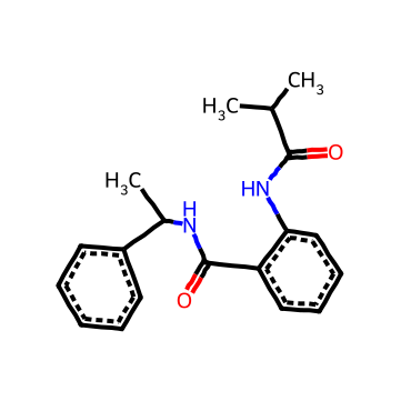 CC(C)C(=O)Nc1ccccc1C(=O)NC(C)c1ccccc1